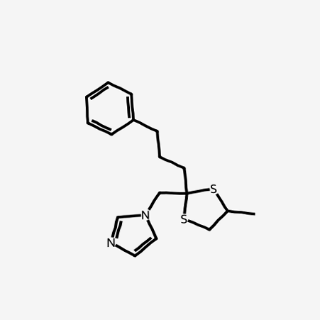 CC1CSC(CCCc2ccccc2)(Cn2ccnc2)S1